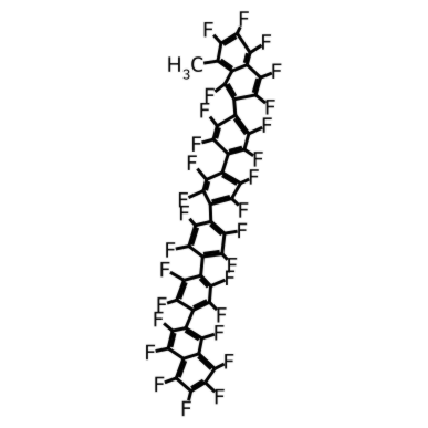 Cc1c(F)c(F)c(F)c2c(F)c(F)c(-c3c(F)c(F)c(-c4c(F)c(F)c(-c5c(F)c(F)c(-c6c(F)c(F)c(-c7c(F)c(F)c8c(F)c(F)c(F)c(F)c8c7F)c(F)c6F)c(F)c5F)c(F)c4F)c(F)c3F)c(F)c12